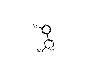 CC(C)(C)C1CC(c2cccc(C#N)c2)=CCN1